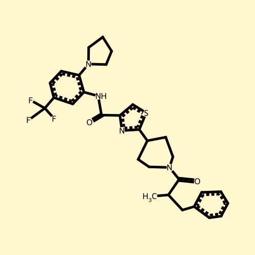 CC(Cc1ccccc1)C(=O)N1CCC(c2nc(C(=O)Nc3cc(C(F)(F)F)ccc3N3CCCC3)cs2)CC1